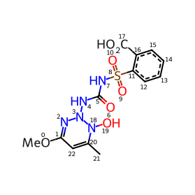 COC1=NN(NC(=O)NS(=O)(=O)c2ccccc2C(=O)O)N(O)C(C)=C1